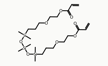 C=CC(=O)OCCOCCC[Si](C)(C)O[Si](C)(C)O[Si](C)(C)CCCOCCOC(=O)C=C